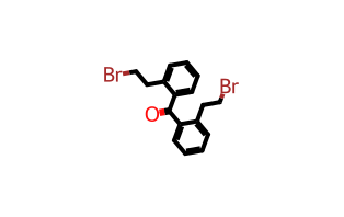 O=C(c1ccccc1CCBr)c1ccccc1CCBr